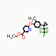 CCOC(=O)c1ccc(Oc2ccc(C3(C(F)(F)C(F)(F)F)CC3)cc2C)nc1